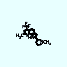 Cc1cc(C(F)(F)F)c2ccc3cc(C4CCCN(C)C4)[nH]c3c2n1